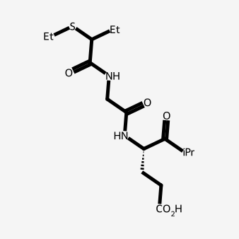 CCSC(CC)C(=O)NCC(=O)N[C@@H](CCC(=O)O)C(=O)C(C)C